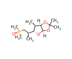 C[C@H]1[C@H]2OC(C)(C)O[C@H]2O[C@@H]1[C@@H](C)CP(C)(C)=O